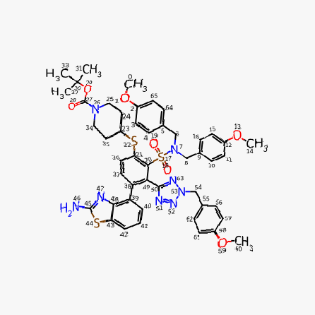 COc1ccc(CN(Cc2ccc(OC)cc2)S(=O)(=O)c2c(SC3CCN(C(=O)OC(C)(C)C)CC3)ccc(-c3cccc4sc(N)nc34)c2-c2nnn(Cc3ccc(OC)cc3)n2)cc1